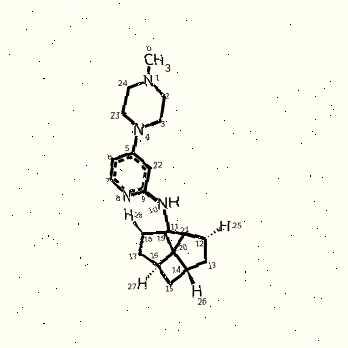 CN1CCN(c2ccnc(NC3[C@@H]4C[C@@H]5C[C@H]6C[C@H]3CC56C4)c2)CC1